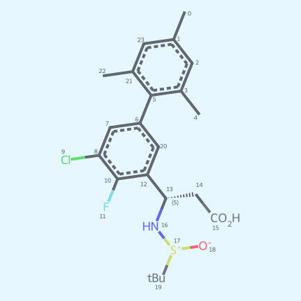 Cc1cc(C)c(-c2cc(Cl)c(F)c([C@H](CC(=O)O)N[S+]([O-])C(C)(C)C)c2)c(C)c1